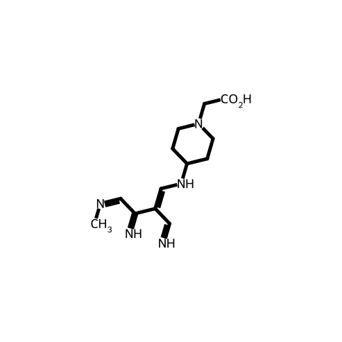 C/N=C\C(=N)/C(C=N)=C/NC1CCN(CC(=O)O)CC1